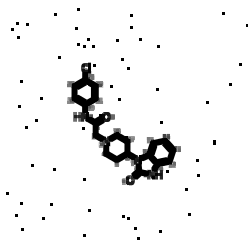 O=C(CN1CCC(n2c(=O)[nH]c3ccccc32)CC1)Nc1ccc(Cl)cc1